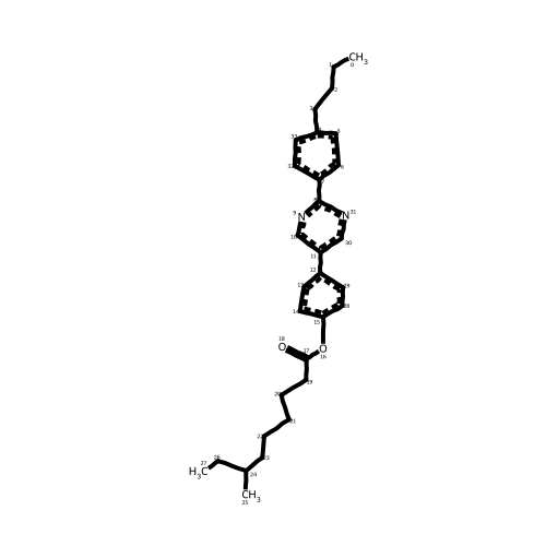 CCCCc1ccc(-c2ncc(-c3ccc(OC(=O)CCCCCC(C)CC)cc3)cn2)cc1